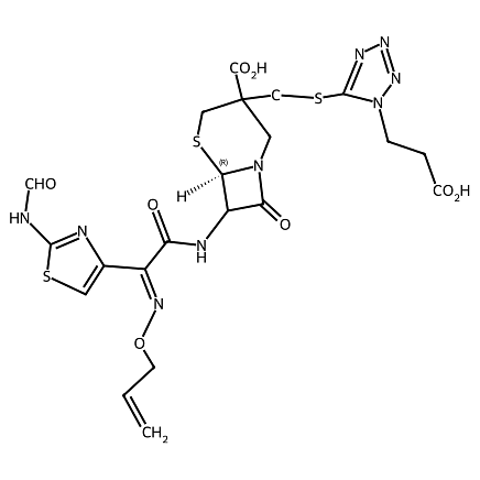 C=CCON=C(C(=O)NC1C(=O)N2CC(CSc3nnnn3CCC(=O)O)(C(=O)O)CS[C@H]12)c1csc(NC=O)n1